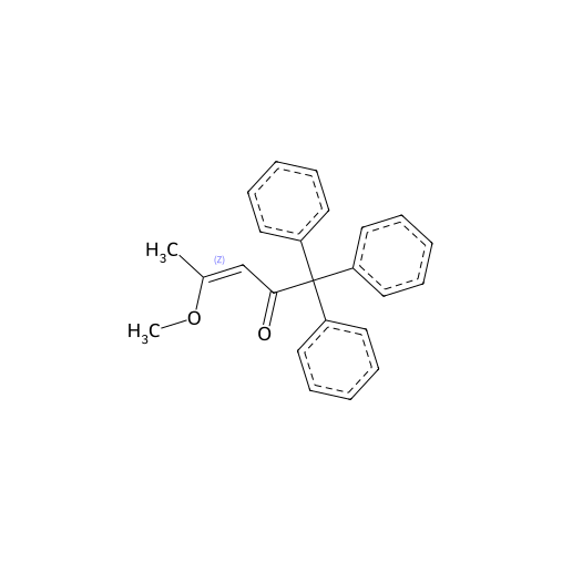 CO/C(C)=C\C(=O)C(c1ccccc1)(c1ccccc1)c1ccccc1